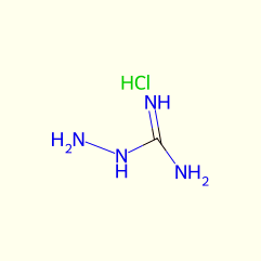 Cl.N=C(N)NN